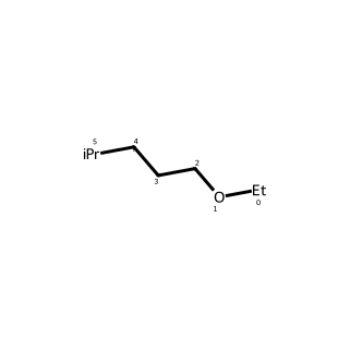 CCOCC[CH]C(C)C